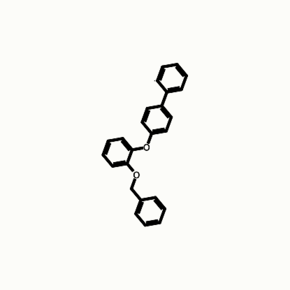 [c]1ccccc1-c1ccc(Oc2ccccc2OCc2ccccc2)cc1